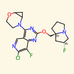 Fc1c(Cl)ncc2c(N3CCOC4CC43)nc(OC[C@@]34CCCN3C[C@H](F)C4)nc12